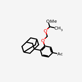 COC(C)OCOc1cc(C(C)=O)ccc1C12CC3CC(CC(C3)C1)C2